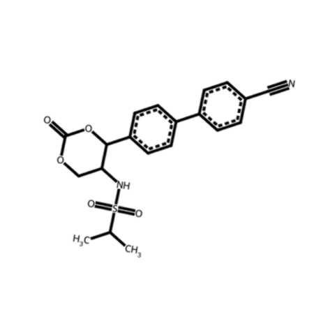 CC(C)S(=O)(=O)NC1COC(=O)OC1c1ccc(-c2ccc(C#N)cc2)cc1